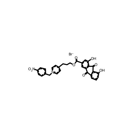 O=C(OCCCc1cc[n+](Cc2ccc([N+](=O)[O-])cc2)cc1)c1cc(O)c2c(c1)C(=O)c1cccc(O)c1C2=O.[Br-]